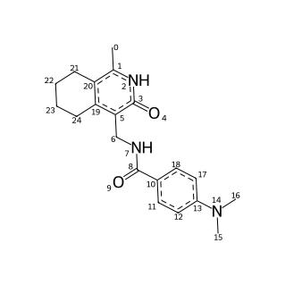 Cc1[nH]c(=O)c(CNC(=O)c2ccc(N(C)C)cc2)c2c1CCCC2